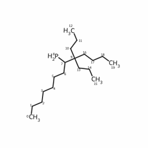 CCCCCCCC(P)C(CCC)(CCC)CCCC